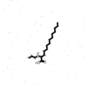 CCCCCCCCCCCCC(NCCC)C(=O)O